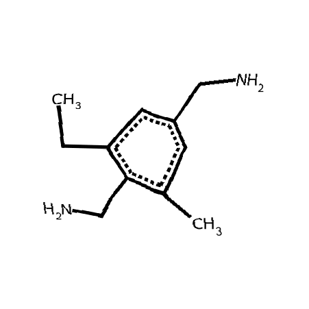 CCc1cc(CN)cc(C)c1CN